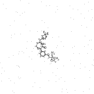 CC(C)(C)COc1cccc([C@H]2SCC[C@@H](CNCC(F)(F)F)NC2=O)c1